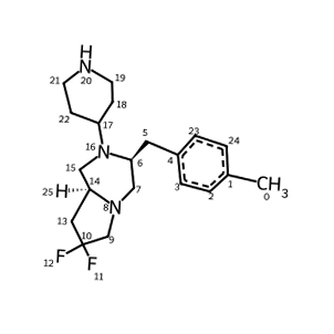 Cc1ccc(C[C@H]2CN3CC(F)(F)C[C@H]3CN2C2CCNCC2)cc1